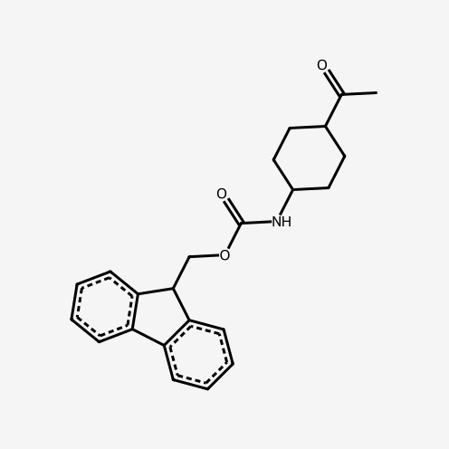 CC(=O)C1CCC(NC(=O)OCC2c3ccccc3-c3ccccc32)CC1